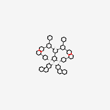 c1ccc(-c2ccc(N3c4cc5c(ccc6ccccc65)cc4B4c5cc6ccc7ccccc7c6cc5N(c5ccc(-c6ccccc6)cc5)c5cc(-c6cc(-c7cc(-c8ccccc8)cc(-c8ccccc8)c7)nc(-c7cc(-c8ccccc8)cc(-c8ccccc8)c7)c6)cc3c54)cc2)cc1